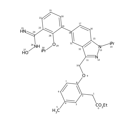 CCOC(=O)Cc1cc(C)ccc1OCc1nn(C(C)C)c2ccc(-c3cccc(C(=N)NO)c3OC(C)C)cc12